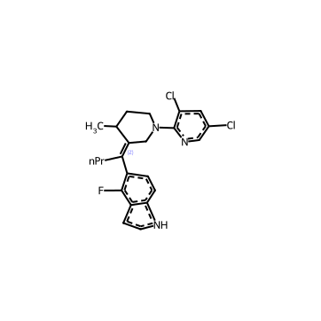 CCC/C(=C1/CN(c2ncc(Cl)cc2Cl)CCC1C)c1ccc2[nH]ccc2c1F